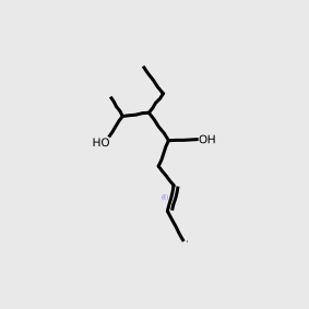 [CH2]/C=C/CC(O)C(CC)C(C)O